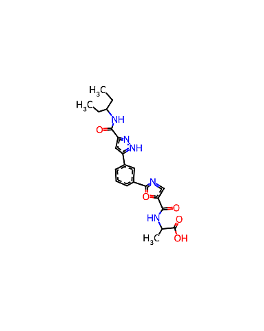 CCC(CC)NC(=O)c1cc(-c2cccc(-c3ncc(C(=O)NC(C)C(=O)O)o3)c2)[nH]n1